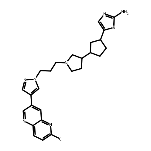 Nc1ncc(C2CCC(C3CCN(CCCn4cc(-c5cnc6ccc(Cl)nc6c5)cn4)C3)C2)s1